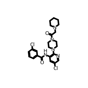 O=C(Nc1cc(Cl)cnc1N1CCN(C(=O)CN2CCCCC2)CC1)c1cccc(Cl)c1